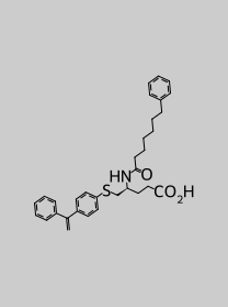 C=C(c1ccccc1)c1ccc(SC[C@H](CCC(=O)O)NC(=O)CCCCCCc2ccccc2)cc1